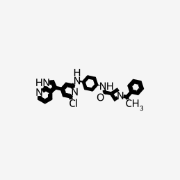 CC(c1ccccc1)N1CC(C(=O)N[C@H]2CC[C@H](Nc3cc(-c4c[nH]c5ncccc45)cc(Cl)n3)CC2)C1